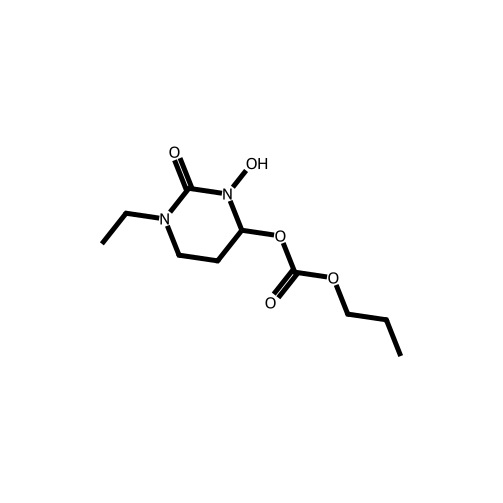 CCCOC(=O)OC1CCN(CC)C(=O)N1O